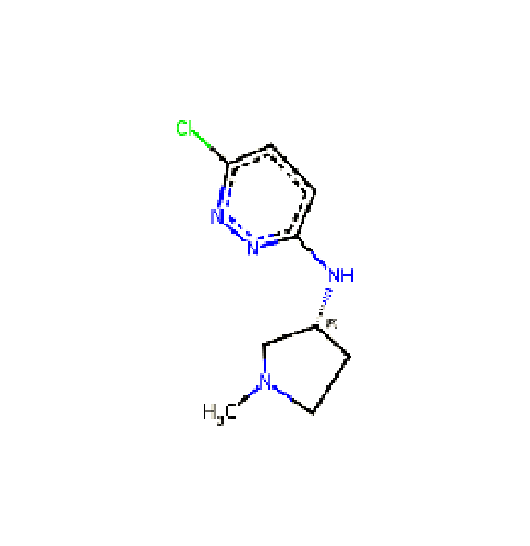 CN1CC[C@@H](Nc2ccc(Cl)nn2)C1